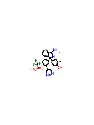 COc1ccc(C2(c3cccc(-c4cncnc4)c3)N=C(N)c3ccccc32)cc1C.O=C(O)C(F)(F)F